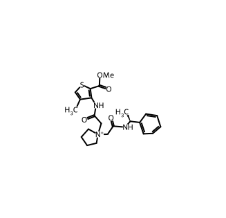 COC(=O)c1scc(C)c1NC(=O)C[N+]1(CC(=O)N[C@@H](C)c2ccccc2)CCCC1